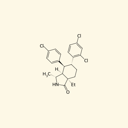 CC[C@@]12CC[C@@H](c3ccc(Cl)cc3Cl)[C@H](c3ccc(Cl)cc3)[C@@H]1[C@@H](C)NC2=O